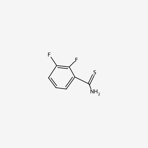 NC(=S)c1cccc(F)c1F